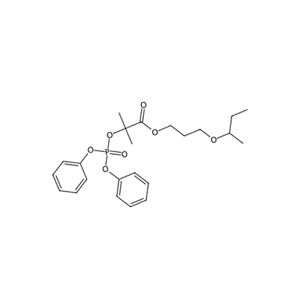 CCC(C)OCCCOC(=O)C(C)(C)OP(=O)(Oc1ccccc1)Oc1ccccc1